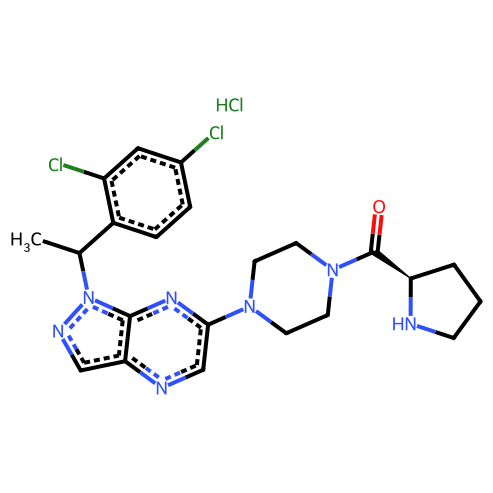 CC(c1ccc(Cl)cc1Cl)n1ncc2ncc(N3CCN(C(=O)[C@H]4CCCN4)CC3)nc21.Cl